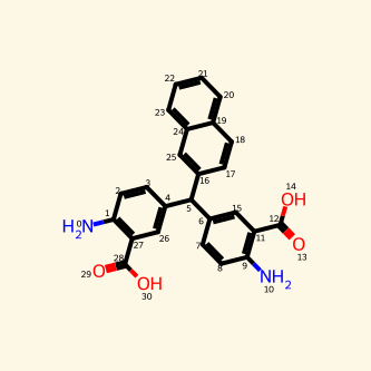 Nc1ccc(C(c2ccc(N)c(C(=O)O)c2)c2ccc3ccccc3c2)cc1C(=O)O